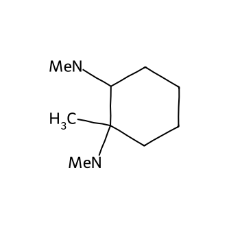 CNC1CCCCC1(C)NC